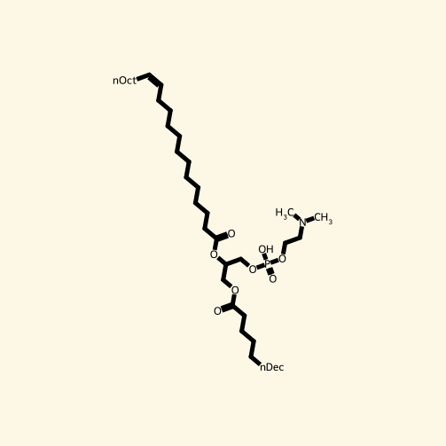 CCCCCCCC/C=C\CCCCCCCCCCCC(=O)OC(COC(=O)CCCCCCCCCCCCCC)COP(=O)(O)OCCN(C)C